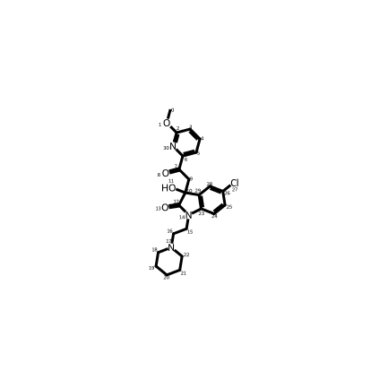 COc1cccc(C(=O)CC2(O)C(=O)N(CCN3CCCCC3)c3ccc(Cl)cc32)n1